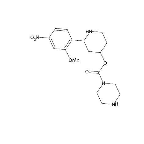 COc1cc([N+](=O)[O-])ccc1C1CC(OC(=O)N2CCNCC2)CCN1